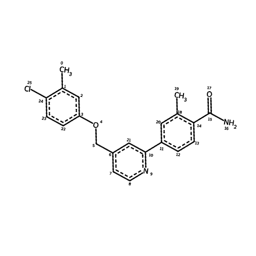 Cc1cc(OCc2ccnc(-c3ccc(C(N)=O)c(C)c3)c2)ccc1Cl